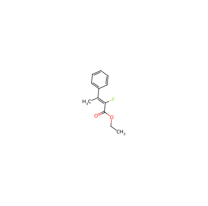 CCOC(=O)/C(F)=C(\C)c1ccccc1